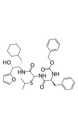 CC(C)SC(NC(=O)[C@H](Cc1ccccc1)NC(=O)OCc1ccccc1)C(=O)N[C@@H](CC1CCCCC1)[C@@H](O)c1ccco1